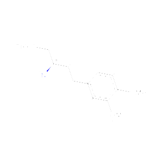 CCOC(=O)C[C@H](N)CCc1ccc(OC)c(OC)c1